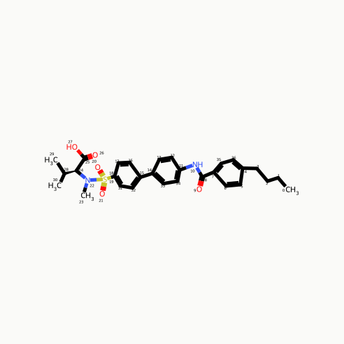 CCCCc1ccc(C(=O)Nc2ccc(-c3ccc(S(=O)(=O)N(C)[C@H](C(=O)O)C(C)C)cc3)cc2)cc1